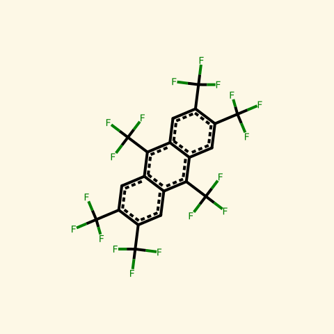 FC(F)(F)c1cc2c(C(F)(F)F)c3cc(C(F)(F)F)c(C(F)(F)F)cc3c(C(F)(F)F)c2cc1C(F)(F)F